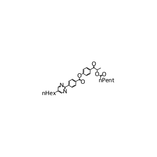 CCCCCCc1cnc(-c2ccc(C(=O)Oc3ccc(C(=O)C(C)OC(=O)CCCCC)cc3)cc2)nc1